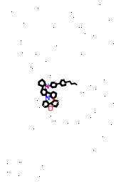 CCCCc1ccc(-c2ccc(-n3c4ccccc4c4ccc5c(c6ccccc6n5-c5cccc6oc7ccccc7c56)c43)cc2)cc1